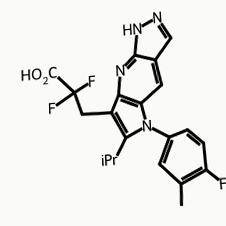 Cc1cc(-n2c(C(C)C)c(CC(F)(F)C(=O)O)c3nc4[nH]ncc4cc32)ccc1F